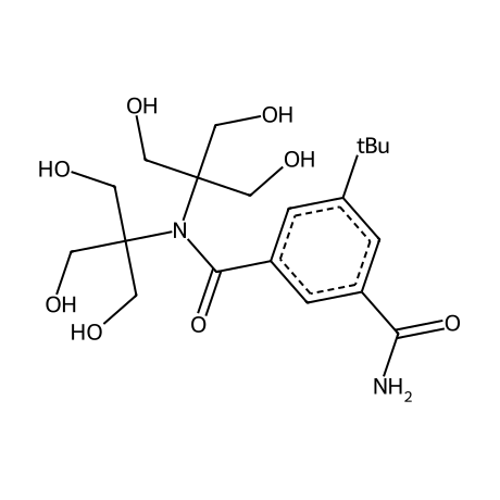 CC(C)(C)c1cc(C(N)=O)cc(C(=O)N(C(CO)(CO)CO)C(CO)(CO)CO)c1